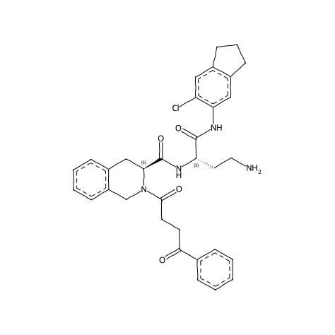 NCC[C@H](NC(=O)[C@@H]1Cc2ccccc2CN1C(=O)CCC(=O)c1ccccc1)C(=O)Nc1cc2c(cc1Cl)CCC2